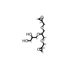 OCC(O)COC(COCC1CO1)COCC1CO1